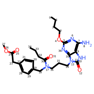 CCCCOc1nc(N)c2[nH]c(=O)n(CCCN(Cc3ccc(CC(=O)OC)cc3)C(=O)CCC)c2n1